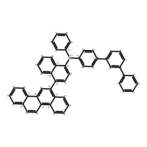 c1ccc(-c2cccc(-c3ccc(N(c4ccccc4)c4ccc(-c5cc6c7ccccc7ccc6c6ccccc56)c5ccccc45)cc3)c2)cc1